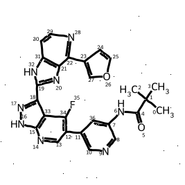 CC(C)(C)C(=O)Nc1cncc(-c2cnc3[nH]nc(-c4nc5c(-c6ccoc6)nccc5[nH]4)c3c2F)c1